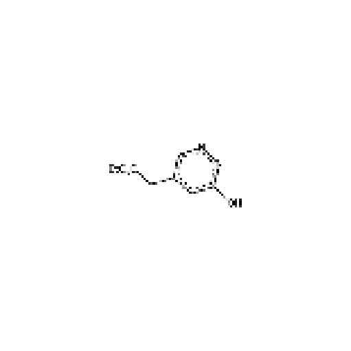 CCOC(=O)Cc1cnnc(O)c1